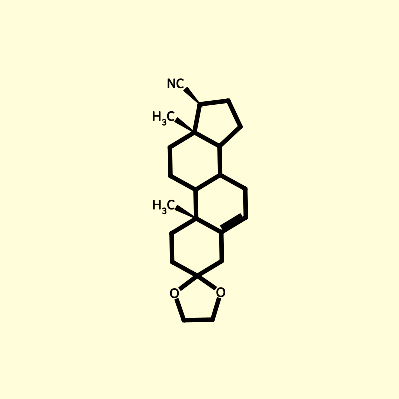 C[C@]12CCC3(CC1=CCC1C2CC[C@@]2(C)C1CC[C@@H]2C#N)OCCO3